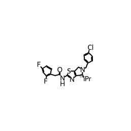 CC(C)[C@H]1c2nc(NC(=O)Cc3ccc(F)cc3F)sc2CN1Cc1ccc(Cl)cc1